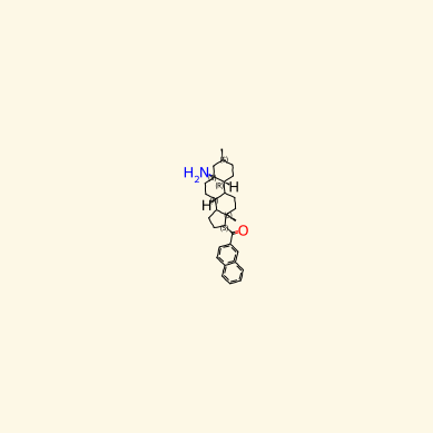 C[C@H]1CC[C@@H]2C3CC[C@@]4(C)C(CC[C@@H]4C(=O)c4ccc5ccccc5c4)[C@@H]3CC[C@]2(N)C1